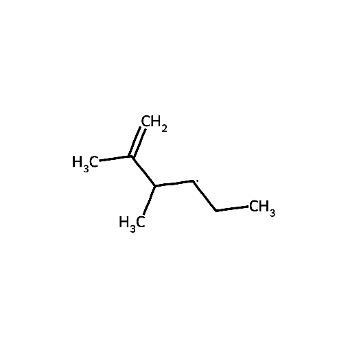 C=C(C)C(C)[CH]CC